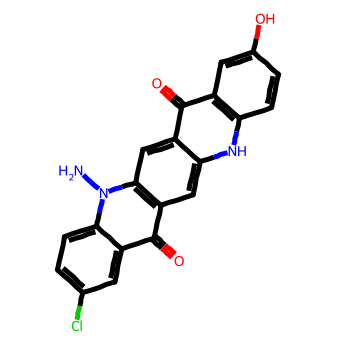 Nn1c2ccc(Cl)cc2c(=O)c2cc3[nH]c4ccc(O)cc4c(=O)c3cc21